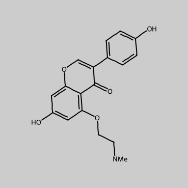 CNCCOc1cc(O)cc2occ(-c3ccc(O)cc3)c(=O)c12